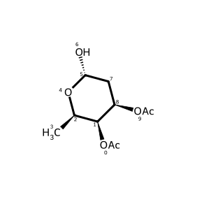 CC(=O)O[C@H]1[C@@H](C)O[C@H](O)C[C@H]1OC(C)=O